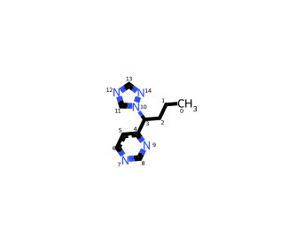 CCCC(c1ccncn1)n1cncn1